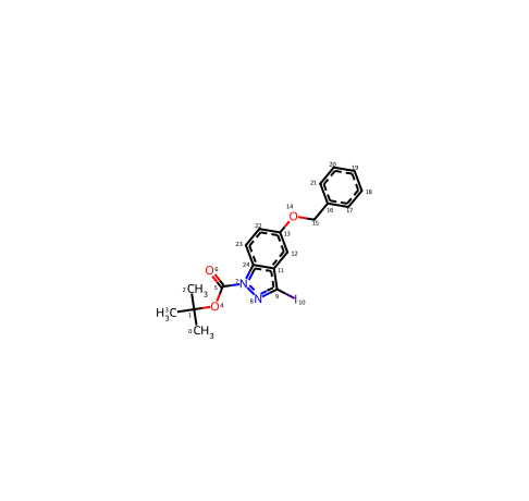 CC(C)(C)OC(=O)n1nc(I)c2cc(OCc3ccccc3)ccc21